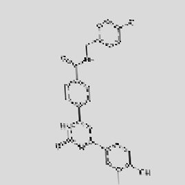 Cc1cc(-c2cc(-c3ccc(C(=O)NCc4ccc(Cl)cc4)cc3)[nH]c(=O)n2)ccc1O